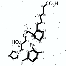 Cc1ccc(C[C@@H]2CCCN2C[C@@H](O)CO[C@H](C)c2ccccc2CCCCCC(=O)O)cc1F